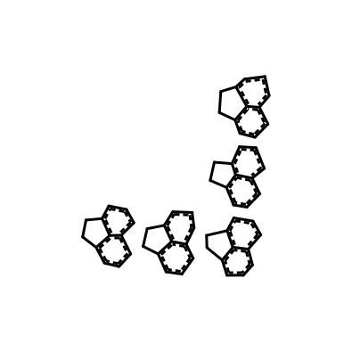 c1cc2c3c(cccc3c1)CC2.c1cc2c3c(cccc3c1)CC2.c1cc2c3c(cccc3c1)CC2.c1cc2c3c(cccc3c1)CC2.c1cc2c3c(cccc3c1)CC2